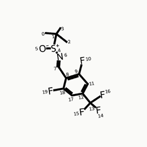 CC(C)(C)[S+]([O-])N=Cc1c(F)cc(C(F)(F)F)cc1F